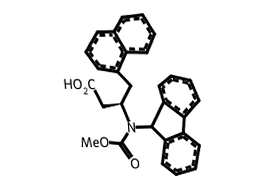 COC(=O)N(C1c2ccccc2-c2ccccc21)[C@@H](CC(=O)O)Cc1cccc2ccccc12